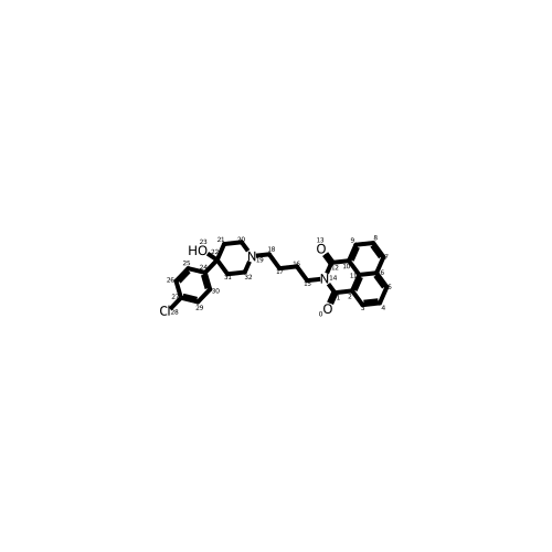 O=C1c2cccc3cccc(c23)C(=O)N1CCCCN1CCC(O)(c2ccc(Cl)cc2)CC1